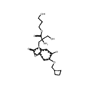 NC(CO)(Cn1c(=O)oc2cc(OCC3CCC3)c(Cl)cc21)C(=O)OCCCO